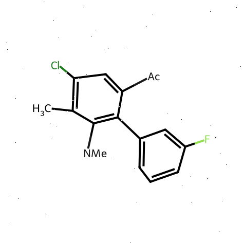 CNc1c(C)c(Cl)cc(C(C)=O)c1-c1cccc(F)c1